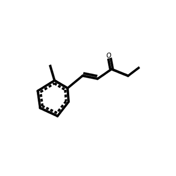 CCC(=O)C=Cc1ccccc1C